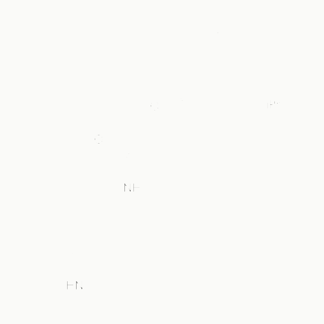 Cc1cc2c(NC(=O)CO[C@H]3CC(C(C)C)C[C@@H](C)C3)cccc2[nH]1